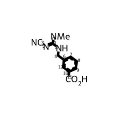 CNC(=NC#N)NCc1cccc(C(=O)O)c1